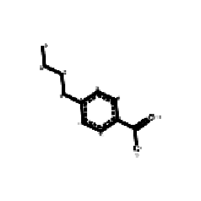 CCCCc1ccc(C([O])=O)cc1